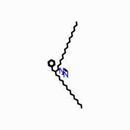 CCCCCCCCCCCCCCCCCC(C(CCCCCCCCCCCCCCC)Cc1ccccc1)n1ccnc1